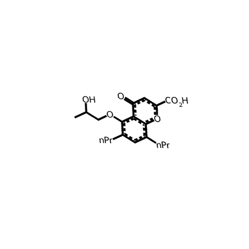 CCCc1cc(CCC)c2oc(C(=O)O)cc(=O)c2c1OCC(C)O